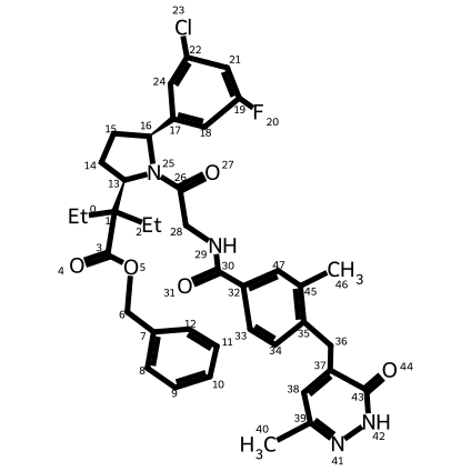 CCC(CC)(C(=O)OCc1ccccc1)[C@H]1CC[C@@H](c2cc(F)cc(Cl)c2)N1C(=O)CNC(=O)c1ccc(Cc2cc(C)n[nH]c2=O)c(C)c1